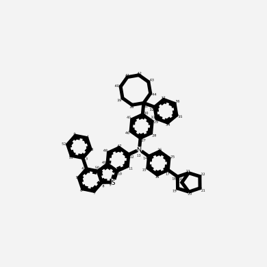 c1ccc(-c2cccc3sc4cc(N(c5ccc(C6CC7CCC6C7)cc5)c5ccc(C6(c7ccccc7)CCCCCCC6)cc5)ccc4c23)cc1